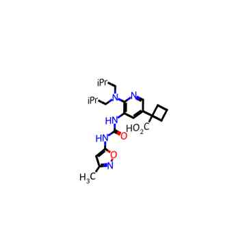 Cc1cc(NC(=O)Nc2cc(C3(C(=O)O)CCC3)cnc2N(CC(C)C)CC(C)C)on1